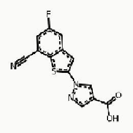 N#Cc1cc(F)cc2cc(-n3cc(C(=O)O)cn3)sc12